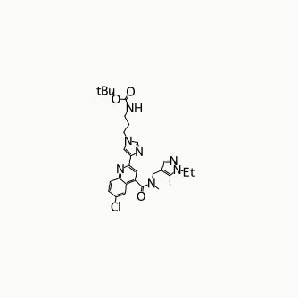 CCn1ncc(CN(C)C(=O)c2cc(-c3cn(CCCNC(=O)OC(C)(C)C)cn3)nc3ccc(Cl)cc23)c1C